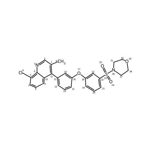 Cc1cnc2c(Cl)cccc2c1-c1cccc(Oc2cccc(S(=O)(=O)N3CCOCC3)c2)c1